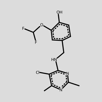 Cc1nc(C)c(Cl)c(NCc2ccc(O)c(OC(F)F)c2)n1